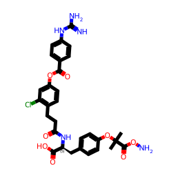 CC(C)(Oc1ccc(C[C@H](NC(=O)CCc2ccc(OC(=O)c3ccc(NC(=N)N)cc3)cc2Cl)C(=O)O)cc1)C(=O)ON